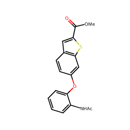 COC(=O)c1cc2ccc(Oc3ccccc3NC(C)=O)cc2s1